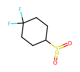 O=[SH](=O)C1CCC(F)(F)CC1